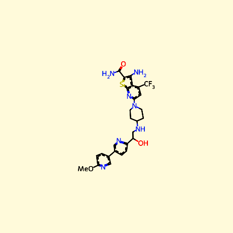 COc1ccc(-c2ccc(C(O)CNC3CCN(c4cc(C(F)(F)F)c5c(N)c(C(N)=O)sc5n4)CC3)nc2)cn1